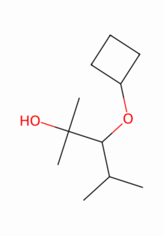 CC(C)C(OC1CCC1)C(C)(C)O